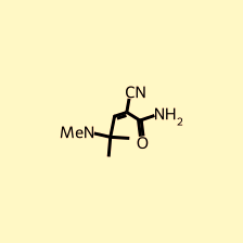 CNC(C)(C)C=C(C#N)C(N)=O